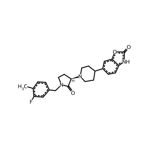 Cc1ccc(CN2CC[C@@H](N3CCC(c4ccc5[nH]c(=O)oc5c4)CC3)C2=O)cc1F